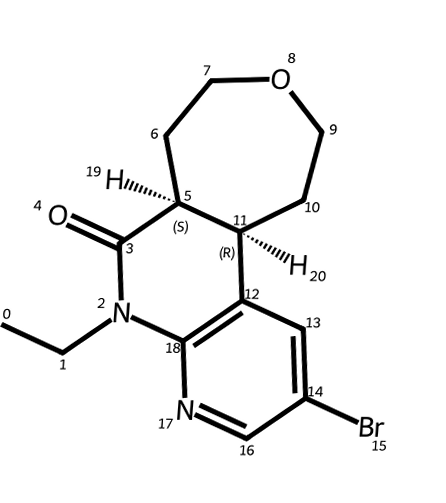 CCN1C(=O)[C@H]2CCOCC[C@H]2c2cc(Br)cnc21